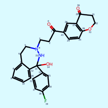 O=C(CCN1CCc2ccccc2C(O)(c2ccc(F)cc2)N1)c1ccc2c(c1)C(=O)CCO2